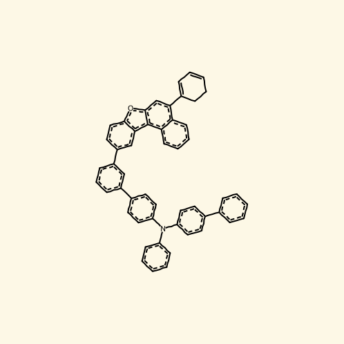 C1=CCCC(c2cc3oc4ccc(-c5cccc(-c6ccc(N(c7ccccc7)c7ccc(-c8ccccc8)cc7)cc6)c5)cc4c3c3ccccc23)=C1